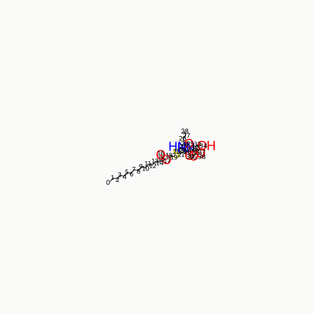 CCCCCCCCCCCCCCCC(=O)OCCSC[C@@H](NC(=O)CCC)C(=O)N[C@@H](CO)C(=O)OC